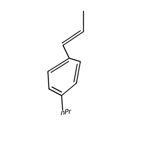 C/C=C/c1ccc(CCC)cc1